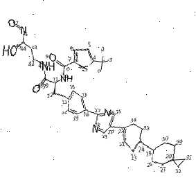 CC(C)(C)c1ccc(C(=O)N[C@@H](Cc2ccc(-c3ncc(C4=CCC(C5CCC6(CC5)CC6)CC4)cn3)cc2)C(=O)NCCC(O)N=O)s1